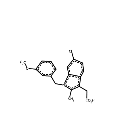 Cc1c(CC(=O)O)c2ccc(Cl)cc2n1Cc1cccc(OC(F)(F)F)c1